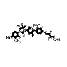 CCOCC(F)C(F)COc1ccc(-c2ncc(N3C(=S)N(c4ccc(C#N)c(C(F)(F)F)c4F)C(=O)C3(C)C)cc2F)c(C(F)(F)F)c1